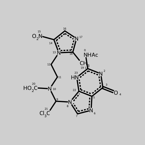 CC(=O)Nc1nc(=O)c2ncn(C(N(CCn3c([N+](=O)[O-])cnc3C)C(=O)O)C(Cl)(Cl)Cl)c2[nH]1